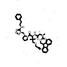 C#CCOCC(C)(C)[C@H](NC(=O)[C@H](C)N(C)C(=O)OCC1c2ccccc2-c2ccccc21)C(=O)N1CCC[C@H]1Cn1nnnc1NCCc1ccccc1